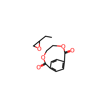 CCC1CO1.O=C1OCCOC(=O)c2ccc1cc2